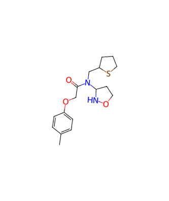 Cc1ccc(OCC(=O)N(CC2CCCS2)C2CCON2)cc1